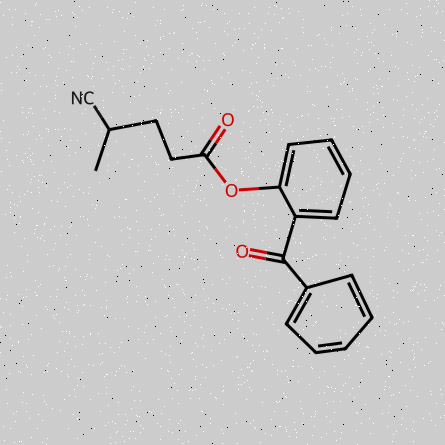 CC(C#N)CCC(=O)Oc1ccccc1C(=O)c1ccccc1